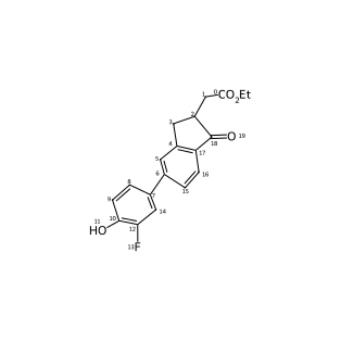 CCOC(=O)CC1Cc2cc(-c3ccc(O)c(F)c3)ccc2C1=O